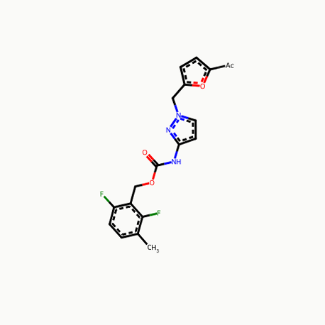 CC(=O)c1ccc(Cn2ccc(NC(=O)OCc3c(F)ccc(C)c3F)n2)o1